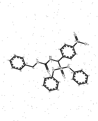 O=C(NC(c1ccc([N+](=O)[O-])cc1)P(=O)(Oc1ccccc1)Oc1ccccc1)OCc1ccccc1